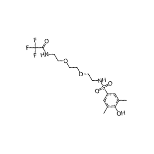 Cc1cc(S(=O)(=O)NCCOCCOCCNC(=O)C(F)(F)F)cc(C)c1O